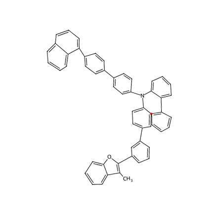 Cc1c(-c2cccc(-c3ccc(N(c4ccc(-c5ccc(-c6cccc7ccccc67)cc5)cc4)c4ccccc4-c4ccccc4)cc3)c2)oc2ccccc12